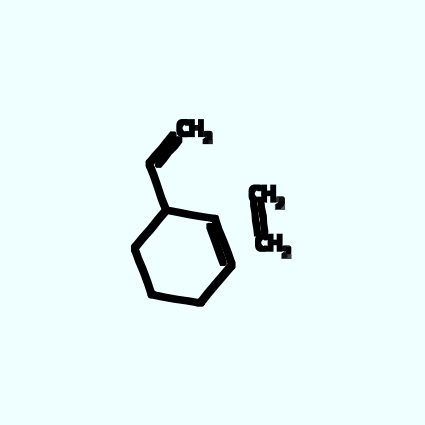 C=C.C=CC1C=CCCC1